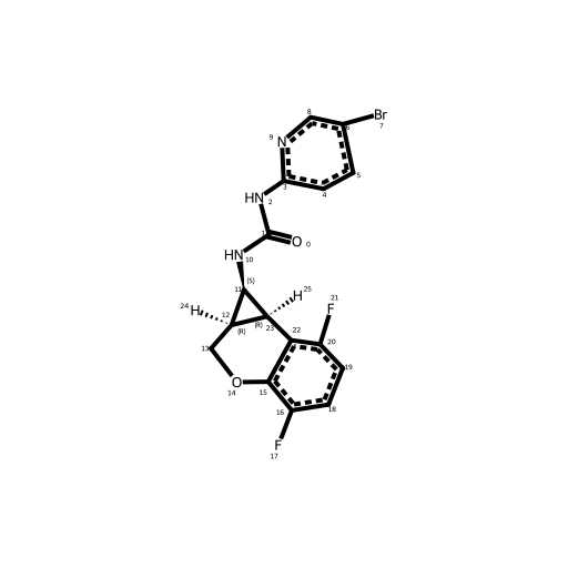 O=C(Nc1ccc(Br)cn1)N[C@@H]1[C@@H]2COc3c(F)ccc(F)c3[C@@H]21